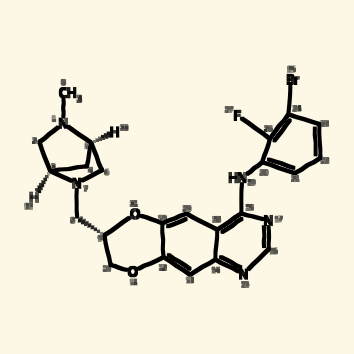 CN1C[C@H]2C[C@@H]1CN2C[C@H]1COc2cc3ncnc(Nc4cccc(Br)c4F)c3cc2O1